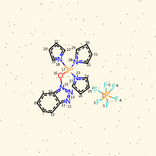 F[P-](F)(F)(F)(F)F.c1ccc2c(c1)nnn2O[P+](n1cccc1)(n1cccc1)n1cccc1